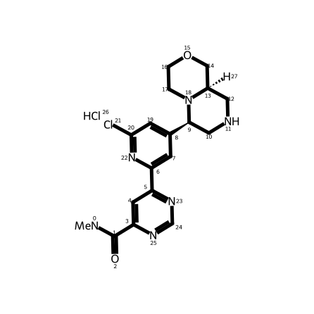 CNC(=O)c1cc(-c2cc([C@@H]3CNC[C@@H]4COCCN43)cc(Cl)n2)ncn1.Cl